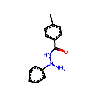 Cc1ccc(C(=O)NN(N)c2ccccc2)cc1